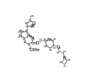 COc1cc2nnc(-c3cc(C)on3)n2nc1OCc1ccc(OCCN2CCC2)cn1